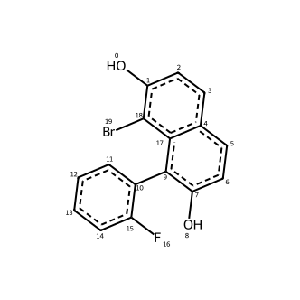 Oc1ccc2ccc(O)c(-c3ccccc3F)c2c1Br